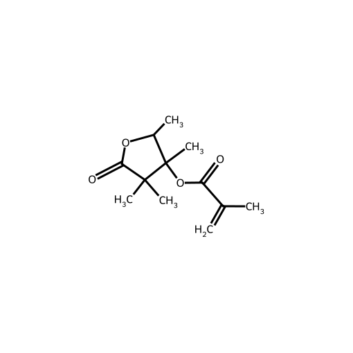 C=C(C)C(=O)OC1(C)C(C)OC(=O)C1(C)C